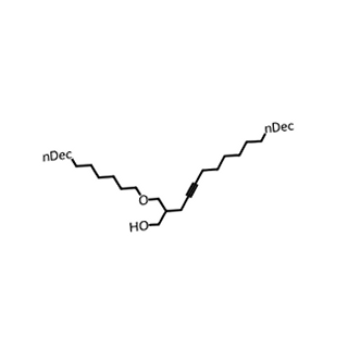 CCCCCCCCCCCCCCCCC#CCC(CO)COCCCCCCCCCCCCCCCC